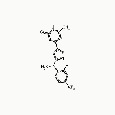 Cc1nc(-c2cnn([C@H](C)c3ccc(C(F)(F)F)cc3Cl)c2)cc(=O)[nH]1